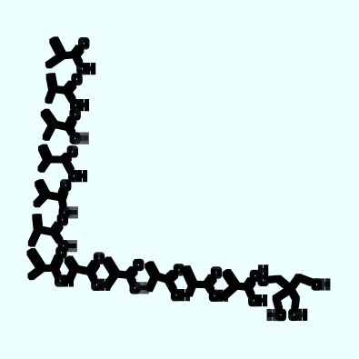 C=C(C)C(=O)O.C=C(C)C(=O)O.C=C(C)C(=O)O.C=C(C)C(=O)O.C=C(C)C(=O)O.C=C(C)C(=O)O.C=C(C)C(=O)O.C=C(C)C(=O)O.C=C(C)C(=O)O.C=C(C)C(=O)O.C=C(C)C(=O)O.C=C(C)C(=O)O.OCC(CO)(CO)CO